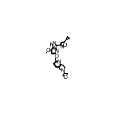 COc1cc(OCc2ccc3c(n2)CCN(C2COC2)C3)nn2c(-c3cc(C4CC4)on3)nnc12